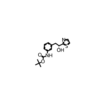 CC(C)(C)OC(=O)Nc1cccc(C[C@@H](O)c2nccs2)c1